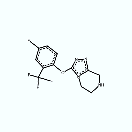 Fc1ccc(Oc2nnc3n2CCNC3)c(C(F)(F)F)c1